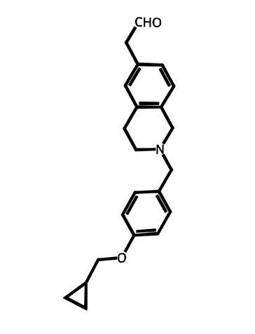 O=CCc1ccc2c(c1)CCN(Cc1ccc(OCC3CC3)cc1)C2